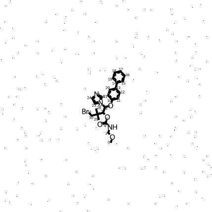 COCNC(=O)OC(C(Oc1ccc(-c2ccccc2)cc1)n1ccnc1)C(C)(C)CBr